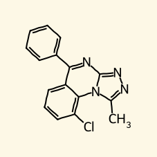 Cc1nnc2nc(-c3ccccc3)c3cccc(Cl)c3n12